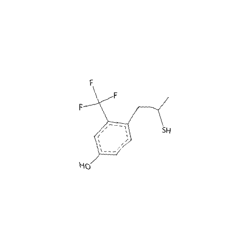 CC(S)Cc1ccc(O)cc1C(F)(F)F